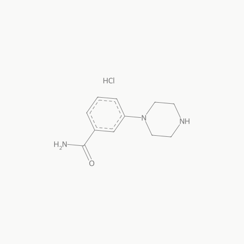 Cl.NC(=O)c1cccc(N2CCNCC2)c1